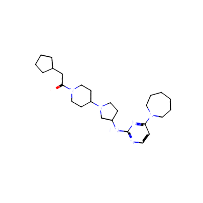 O=C(CC1CCCC1)N1CCC(N2CCC(Nc3nccc(N4CCCCCC4)n3)C2)CC1